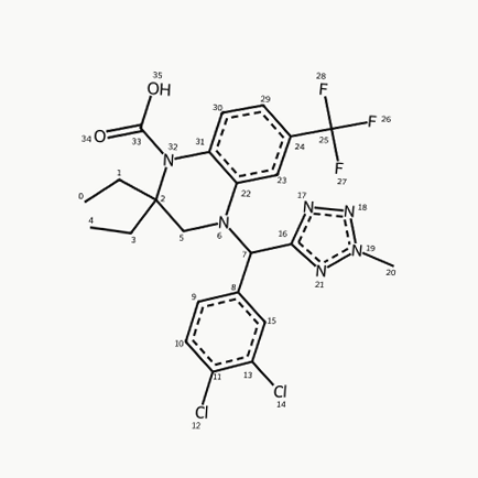 CCC1(CC)CN(C(c2ccc(Cl)c(Cl)c2)c2nnn(C)n2)c2cc(C(F)(F)F)ccc2N1C(=O)O